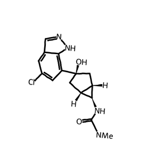 CNC(=O)N[C@H]1[C@@H]2C[C@](O)(c3cc(Cl)cc4cn[nH]c34)C[C@@H]21